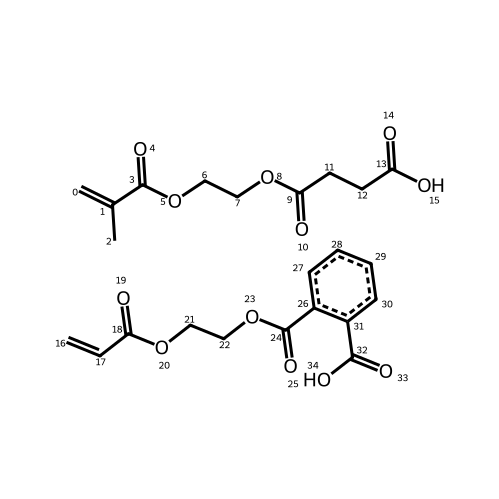 C=C(C)C(=O)OCCOC(=O)CCC(=O)O.C=CC(=O)OCCOC(=O)c1ccccc1C(=O)O